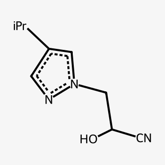 CC(C)c1cnn(CC(O)C#N)c1